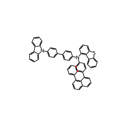 c1ccc(-c2cccc3cccc(-c4ccc(N(c5ccc(-c6ccc(-n7c8ccccc8c8ccccc87)cc6)cc5)c5cccc6sc7ccccc7c56)cc4)c23)cc1